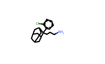 NCCCC1(c2ccccc2Cl)C2CC3CC(C2)CC1C3